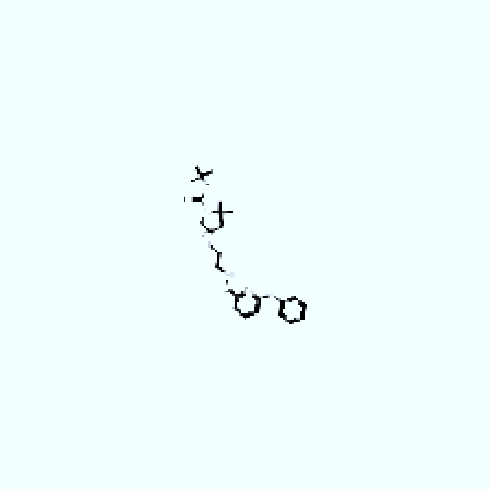 CC(C)(C)OC(=O)N1C[C@@H](CCCNSc2cccc(Nc3ccccc3)n2)CC1(C)C